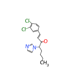 CCCCC(C(=O)C=Cc1ccc(Cl)c(Cl)c1)n1ccnc1